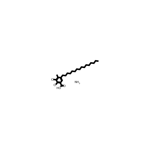 CCCCCCCCCCCCCCCCc1cc(C(=O)O)c(Cl)c(Cl)c1C.N